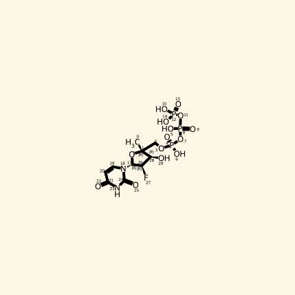 C[C@]1(COP(=O)(O)OP(=O)(O)OP(=O)(O)O)O[C@@H](n2ccc(=O)[nH]c2=O)[C@H](F)[C@@H]1O